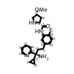 CO[C@H]1CN[C@@H](C(=O)Nc2cc(CC[C@@](N)(c3ccccn3)C3CC3)ccc2F)C1